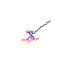 CCCCCCCCCCCCC(N)C(CC(=O)O)(CC(=O)O)NCC(=O)O